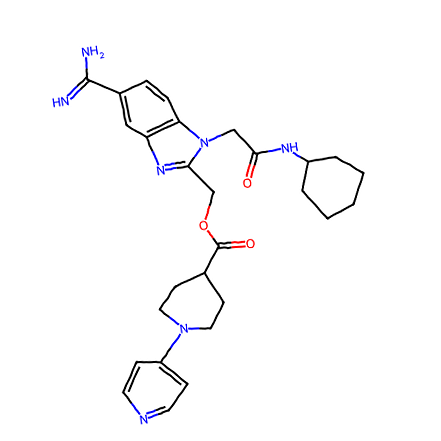 N=C(N)c1ccc2c(c1)nc(COC(=O)C1CCN(c3ccncc3)CC1)n2CC(=O)NC1CCCCC1